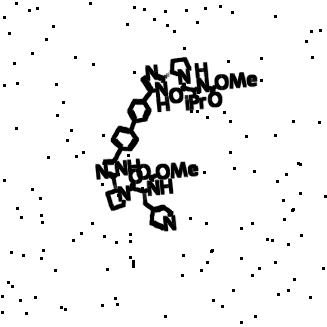 COC(=O)N[C@@H](Cc1ccncc1)C(=O)N1CCC[C@H]1c1ncc(-c2ccc(-c3ccc(-c4cnc([C@@H]5CCCN5C(=O)[C@@H](NC(=O)OC)C(C)C)[nH]4)cc3)cc2)[nH]1